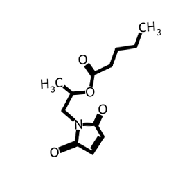 CCCCC(=O)OC(C)CN1C(=O)C=CC1=O